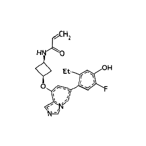 C=CC(=O)N[C@H]1C[C@@H](Oc2cc(-c3cc(F)c(O)cc3CC)cn3cncc23)C1